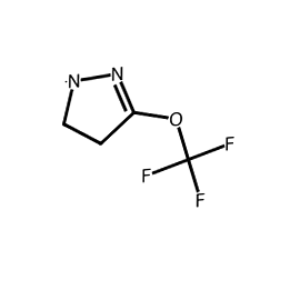 FC(F)(F)OC1=N[N]CC1